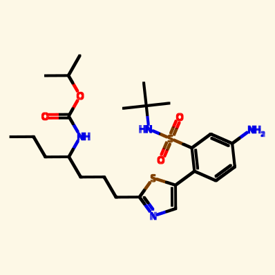 CCCC(CCCc1ncc(-c2ccc(N)cc2S(=O)(=O)NC(C)(C)C)s1)NC(=O)OC(C)C